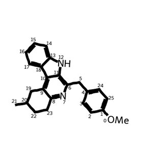 COc1ccc(Cc2nc3c(c4c2[nH]c2ccccc24)CC(C)CC3)cc1